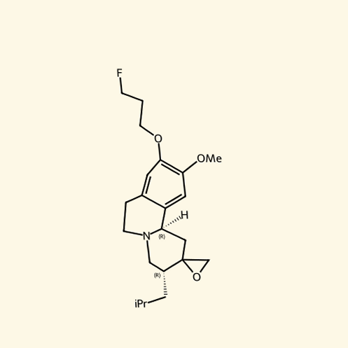 COc1cc2c(cc1OCCCF)CCN1C[C@@H](CC(C)C)C3(CO3)C[C@H]21